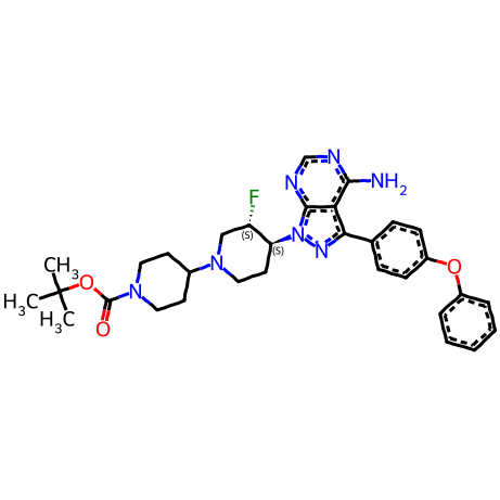 CC(C)(C)OC(=O)N1CCC(N2CC[C@H](n3nc(-c4ccc(Oc5ccccc5)cc4)c4c(N)ncnc43)[C@@H](F)C2)CC1